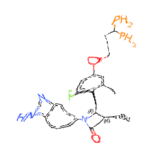 CCCC[C@H]1C(=O)N(c2ccc3[nH]cnc3c2)[C@H]1c1c(C)cc(OCCC(P)P)cc1F